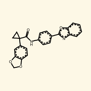 O=C(Nc1ccc(-c2nc3ccccc3o2)cc1)C1(c2ccc3c(c2)OCO3)CC1